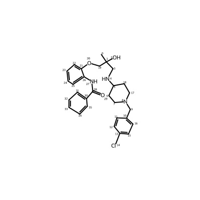 CC(O)(CNC1CCN(Cc2ccc(Cl)cc2)CC1)COc1ccccc1NC(=O)c1ccccc1